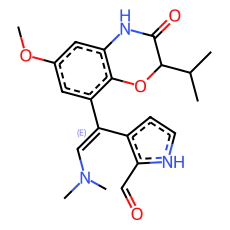 COc1cc2c(c(/C(=C/N(C)C)c3cc[nH]c3C=O)c1)OC(C(C)C)C(=O)N2